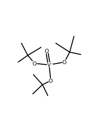 CC(C)(C)[O][V-](=[O])([O]C(C)(C)C)[O]C(C)(C)C